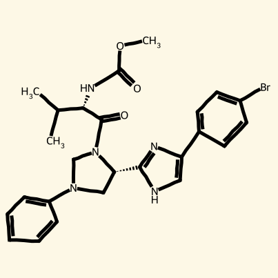 COC(=O)N[C@H](C(=O)N1CN(c2ccccc2)C[C@H]1c1nc(-c2ccc(Br)cc2)c[nH]1)C(C)C